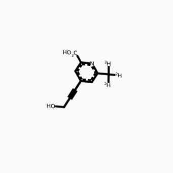 [2H]C([2H])([2H])c1cc(C#CCO)cc(C(=O)O)n1